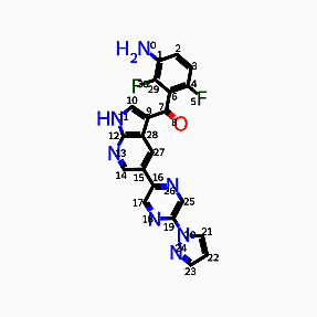 Nc1ccc(F)c(C(=O)c2c[nH]c3ncc(-c4cnc(-n5cccn5)cn4)cc23)c1F